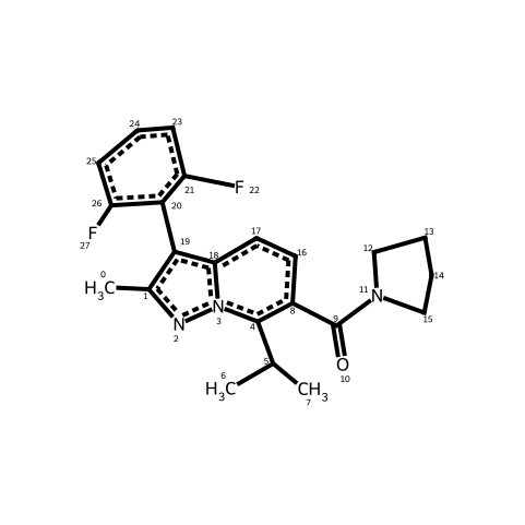 Cc1nn2c(C(C)C)c(C(=O)N3CCCC3)ccc2c1-c1c(F)cccc1F